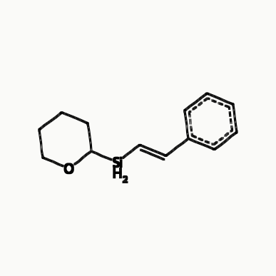 C(=Cc1ccccc1)[SiH2]C1CCCCO1